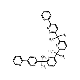 CC(C)(c1ccc(-c2ccccn2)nn1)c1cccc(C(C)(C)c2cccc(C(C)(C)c3ccc(-c4ccccn4)nn3)n2)n1